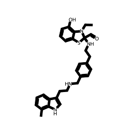 CCN1c2c(O)cccc2SC1(C=O)NCCc1ccc(CNCCc2c[nH]c3c(C)cccc23)cc1